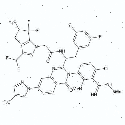 CNc1c(-n2c(C(Cc3cc(F)cc(F)c3)NC(=O)Cn3nc(C(F)F)c4c3C(F)(F)C(C)C4)nc3cc(-n4cc(C(F)(F)F)cn4)ccc3c2=O)ccc(Cl)c1C(=N)NSC